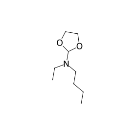 CCCCN(CC)C1OCCO1